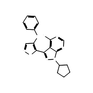 Nc1ncnc2c1c(-c1oncc1Oc1ccccc1)nn2C1CCCC1